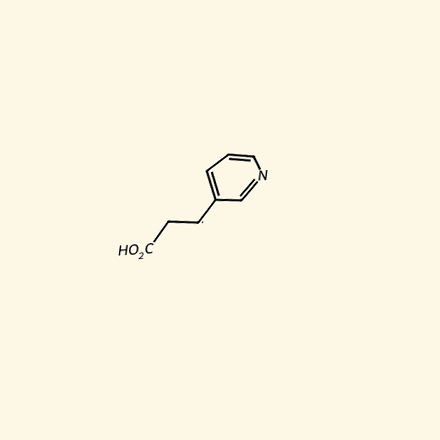 O=C(O)C[CH]c1cccnc1